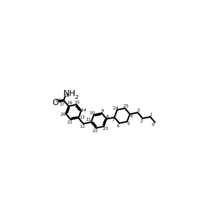 CCCCC1CCC(c2ccc(Cc3ccc(C(N)=O)cc3)cc2)CC1